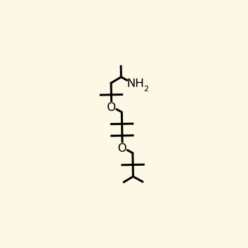 CC(N)CC(C)(C)OCC(C)(C)C(C)(C)OCC(C)(C)C(C)C